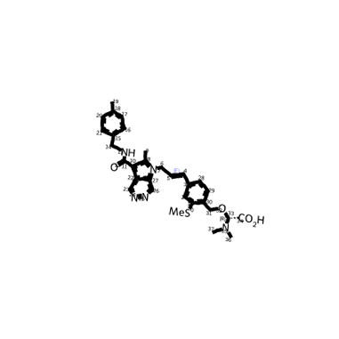 CSc1cc(/C=C/Cn2c(C)c(C(=O)NCc3ccc(C)cc3)c3cnncc32)ccc1CO[C@H](C(=O)O)N(C)C